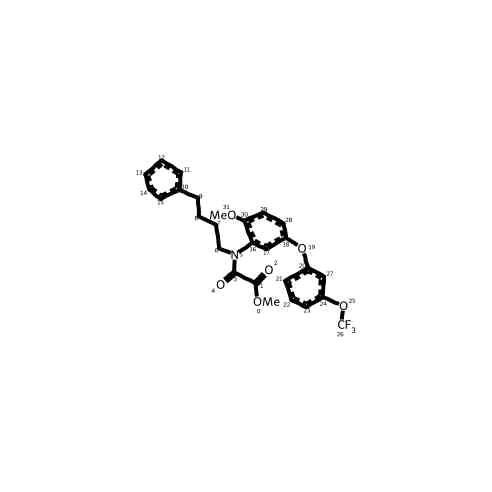 COC(=O)C(=O)N(CCCCc1ccccc1)c1cc(Oc2cccc(OC(F)(F)F)c2)ccc1OC